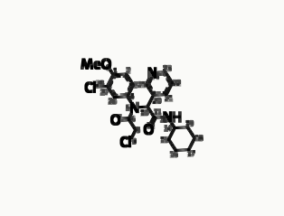 COc1ccc(N(C(=O)CCl)C(C(=O)NC2CCCCC2)c2cccnc2)cc1Cl